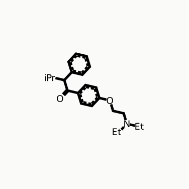 CCN(CC)CCOc1ccc(C(=O)C(c2ccccc2)C(C)C)cc1